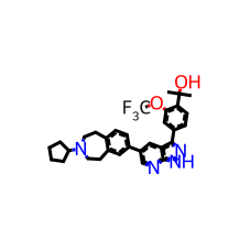 CC(C)(O)c1ccc(-c2n[nH]c3ncc(-c4ccc5c(c4)CCN(C4CCCC4)CC5)cc23)cc1OC(F)(F)F